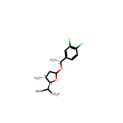 CNC(C(=O)O)[C@@H]1OC(O[C@H](C)c2ccc(Cl)c(Cl)c2)C[C@H]1C